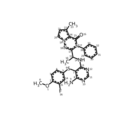 COc1ccc(Sc2c(N)ncnc2NC(C)c2nn3ccc(C)c3c(=O)n2-c2ccccc2)cc1F